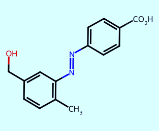 Cc1ccc(CO)cc1N=Nc1ccc(C(=O)O)cc1